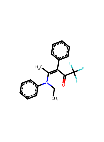 CCN(/C(C)=C(\C(=O)C(F)(F)F)c1ccccc1)c1ccccc1